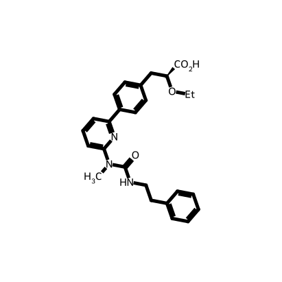 CCO[C@@H](Cc1ccc(-c2cccc(N(C)C(=O)NCCc3ccccc3)n2)cc1)C(=O)O